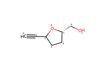 C#CC1CC[C@@H](CO)O1